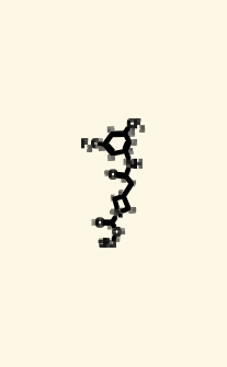 CC(C)(C)OC(=O)N1CC(CC(=O)Nc2cc(C(F)(F)F)cc(C(F)(F)F)c2)C1